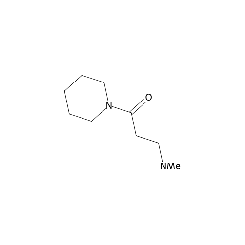 CNCCC(=O)N1CCCCC1